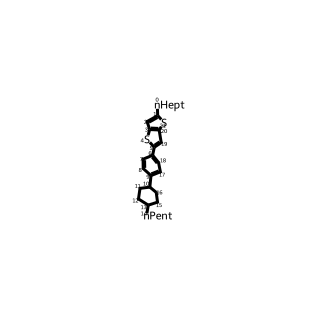 CCCCCCCc1cc2sc(-c3ccc(C4CCC(CCCCC)CC4)cc3)cc2s1